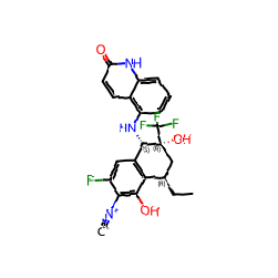 [C-]#[N+]c1c(F)cc2c(c1O)[C@H](CC)C[C@](O)(C(F)(F)F)[C@H]2Nc1cccc2[nH]c(=O)ccc12